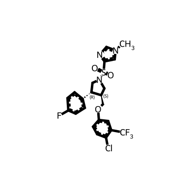 Cn1cnc(S(=O)(=O)N2C[C@@H](COc3ccc(Cl)c(C(F)(F)F)c3)[C@H](c3ccc(F)cc3)C2)c1